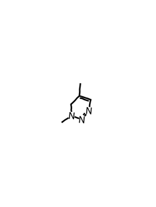 CC1=CN=NN(C)C1